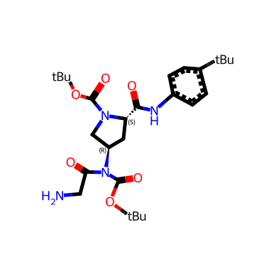 CC(C)(C)OC(=O)N1C[C@H](N(C(=O)CN)C(=O)OC(C)(C)C)C[C@H]1C(=O)Nc1ccc(C(C)(C)C)cc1